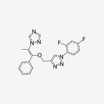 C/C(=C(/OCc1cn(-c2ccc(F)cc2F)nn1)c1ccccc1)n1cncn1